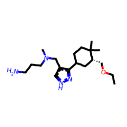 CCOC[C@@H]1CC(c2n[nH]cc2CN(C)CCCN)CCC1(C)C